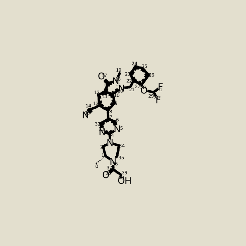 C[C@@H]1CN(c2ncc(-c3cc4c(cc3C#N)c(=O)n(C)n4Cc3ccccc3OC(F)F)cn2)CCN1C(=O)CO